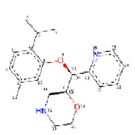 Cc1ccc(C(C)C)c(O[C@@H](c2ccccn2)[C@@H]2CNCCO2)c1